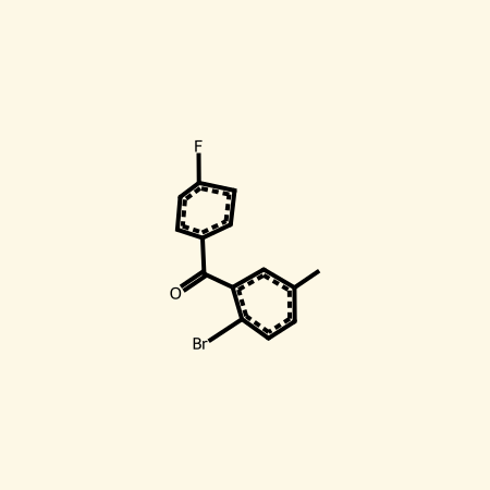 Cc1ccc(Br)c(C(=O)c2ccc(F)cc2)c1